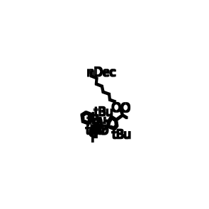 CCCCCCCCCCCCCCCCCCOC(=O)C(C)c1cc(C(C)(C)C)c(OP(OF)Oc2c(C(C)(C)C)cccc2C(C)(C)C)c(C(C)(C)C)c1